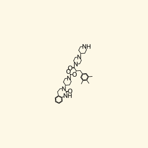 Cc1cc(CC(OC(=O)N2CCC(N3CCc4ccccc4NC3=O)CC2)C(=O)N2CCN(C3CCNCC3)CC2)cc(C)c1C